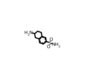 NC1CCc2cc(S(N)(=O)=O)ccc2C1